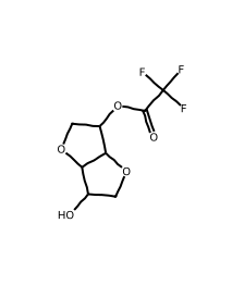 O=C(OC1COC2C(O)COC12)C(F)(F)F